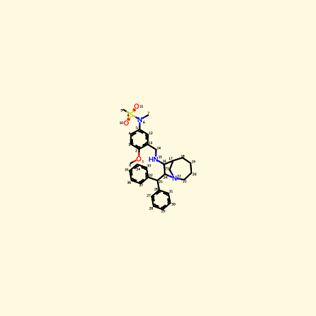 COc1ccc(N(C)S(C)(=O)=O)cc1CNC1C2CCCCN(C2)C1C(c1ccccc1)c1ccccc1